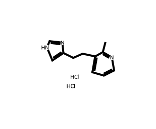 Cc1ncccc1CCc1c[nH]cn1.Cl.Cl